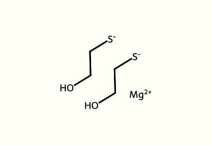 OCC[S-].OCC[S-].[Mg+2]